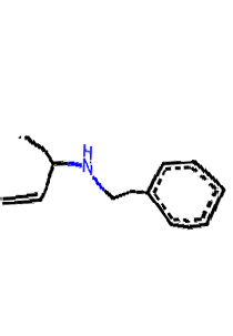 [CH2]C(C=C)NCc1ccccc1